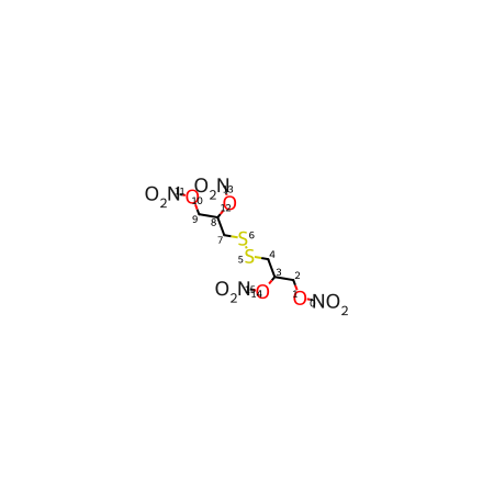 O=[N+]([O-])OCC(CSSCC(CO[N+](=O)[O-])O[N+](=O)[O-])O[N+](=O)[O-]